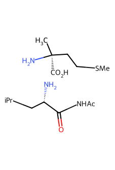 CC(=O)NC(=O)[C@@H](N)CC(C)C.CSCC[C@](C)(N)C(=O)O